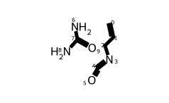 C=CCN=C=O.NC(N)=O